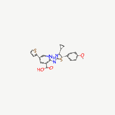 COc1ccc(-c2sc(Nc3ncc(-c4cccs4)cc3C(=O)O)nc2C2CC2)cc1